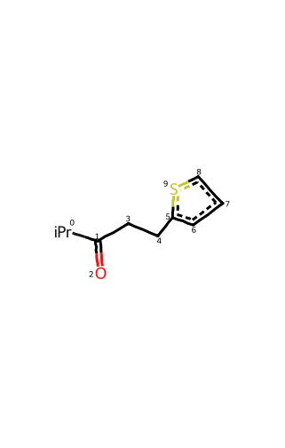 CC(C)C(=O)CCc1cccs1